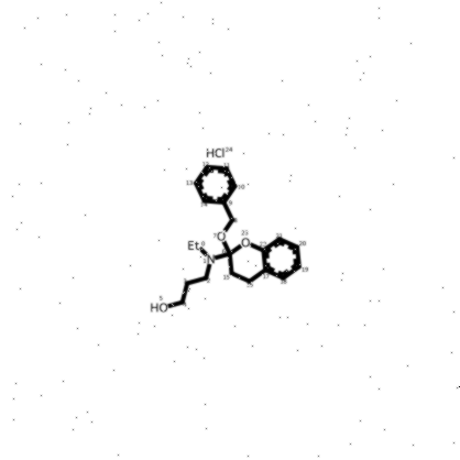 CCN(CCCO)C1(OCc2ccccc2)CCc2ccccc2O1.Cl